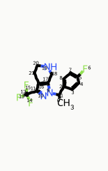 CC(c1ccc(F)cc1)n1nc(C(F)(F)F)c2c1CNCC2